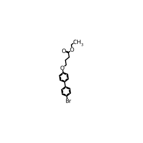 CCOC(=O)CCCOc1ccc(-c2ccc(Br)cc2)cc1